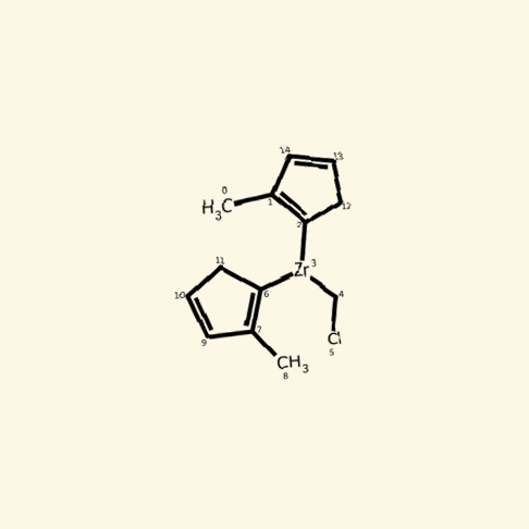 CC1=[C]([Zr]([CH2]Cl)[C]2=C(C)C=CC2)CC=C1